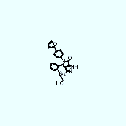 CC(C)(C)c1n[nH]c2c1C(c1ccccc1OCCO)N(c1ccc(-c3ccco3)cc1)C2=O